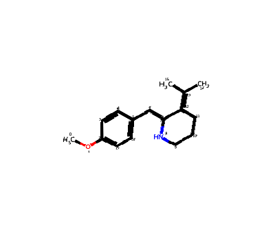 COc1ccc(CC2NCCCC2=C(C)C)cc1